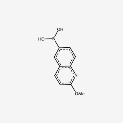 COc1ccc2cc(B(O)O)ccc2n1